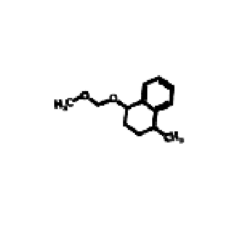 COCOC1CCC(C)c2ccccc21